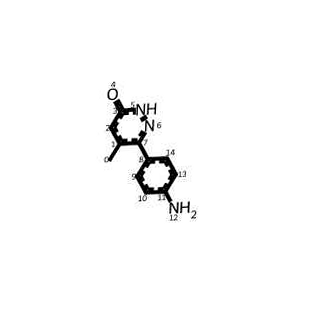 Cc1cc(=O)[nH]nc1-c1ccc(N)cc1